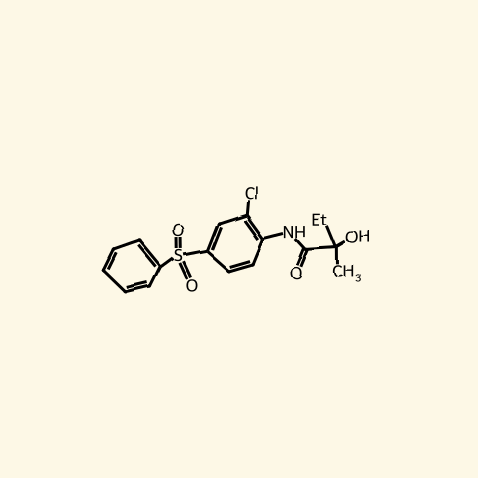 CCC(C)(O)C(=O)Nc1ccc(S(=O)(=O)c2ccccc2)cc1Cl